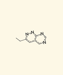 CCc1cc2cncnc2nn1